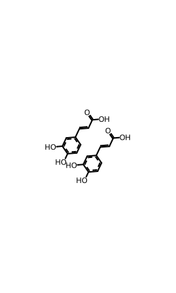 O=C(O)/C=C/c1ccc(O)c(O)c1.O=C(O)C=Cc1ccc(O)c(O)c1